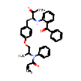 C=CC(=O)N(c1ccccc1)C(C)COc1ccc(C[C@H](Nc2ccccc2C(=O)c2ccccc2)C(=O)OC)cc1